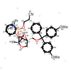 COc1ccc(C(OC[C@@]23CO[C@H]([C@H](c4ccccc4)O2)[C@@H]3OP(OCCC#N)N(C(C)C)C(C)C)(c2ccccc2)c2ccc(OC)cc2)cc1